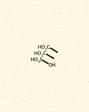 CC(=O)O.CC(=O)O.O=S(=O)(O)O